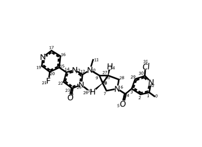 Cc1cc(C(=O)N2C[C@@H]3C(N(C)c4nc(-c5ccncc5F)cc(=O)n4C)[C@@H]3C2)cc(Cl)n1